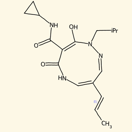 C/C=C/c1cnn(CC(C)C)c(O)c(C(=O)NC2CC2)c(=O)[nH]c1